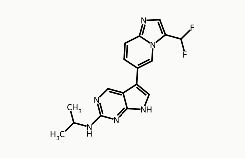 CC(C)Nc1ncc2c(-c3ccc4ncc(C(F)F)n4c3)c[nH]c2n1